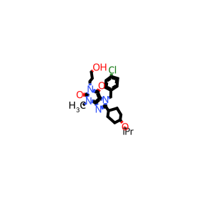 CC(C)OC1CCC(c2nc3c(c(=O)n(CCCO)c(=O)n3C)n2Cc2ccc(Cl)cc2)CC1